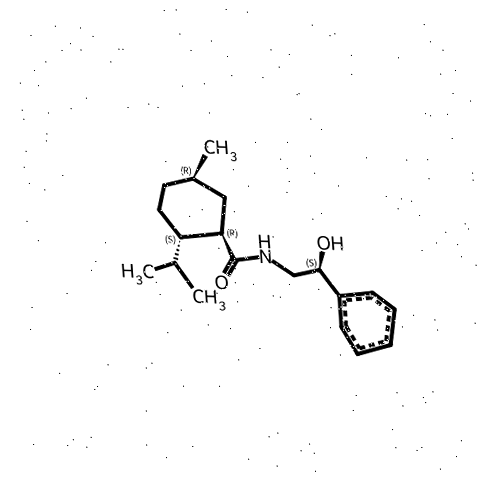 CC(C)[C@@H]1CC[C@@H](C)C[C@H]1C(=O)NC[C@@H](O)c1ccccc1